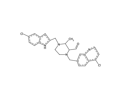 CC1C(C=O)N(Cc2ccc3c(Cl)ccnc3c2)CCN1Cc1cc2cc(Cl)ccc2[nH]1